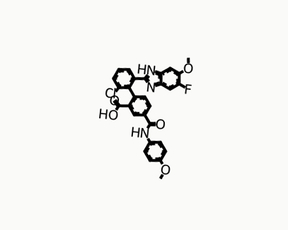 COc1ccc(NC(=O)c2ccc(-c3c(Cl)cccc3-c3nc4cc(F)c(OC)cc4[nH]3)c(C(=O)O)c2)cc1